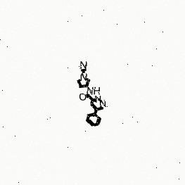 N#CN1CCC(NC(=O)c2cc(-c3ccccc3)cnn2)C1